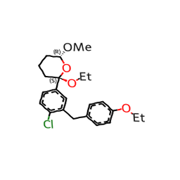 CCOc1ccc(Cc2cc([C@]3(OCC)CCC[C@H](OC)O3)ccc2Cl)cc1